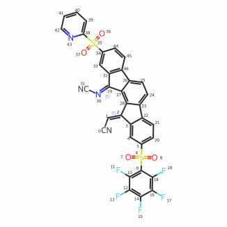 N#C/C=C1\c2cc(S(=O)(=O)c3c(F)c(F)c(F)c(F)c3F)ccc2-c2ccc3c(c21)/C(=N/C#N)c1cc(S(=O)(=O)c2ccccn2)ccc1-3